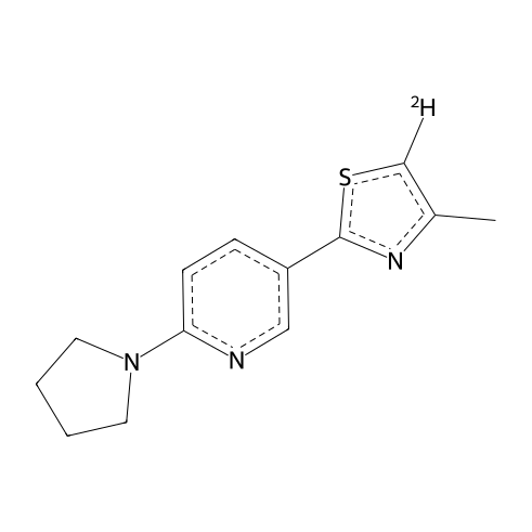 [2H]c1sc(-c2ccc(N3CCCC3)nc2)nc1C